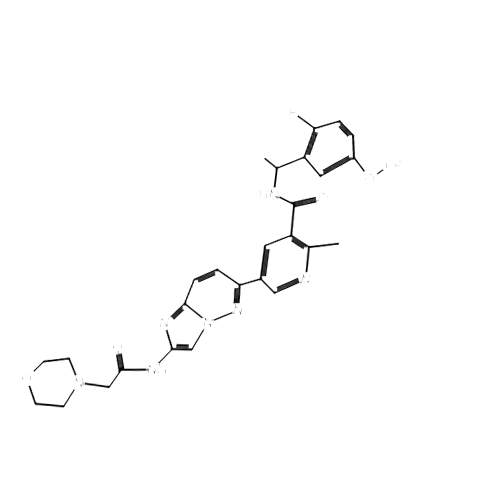 Cc1ncc(-c2ccc3nc(NC(=O)CN4CCOCC4)cn3n2)cc1C(=O)NC(C)c1cc(OC(F)(F)F)ccc1F